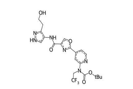 CC(C)(C)OC(=O)N(CC(F)(F)F)c1cc(-c2nc(C(=O)Nc3c[nH]nc3CCO)co2)ccn1